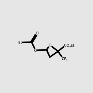 CCOC(=O)C1(C(F)(F)F)CC(OC(=O)CC)O1